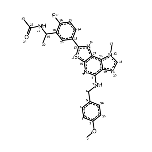 COc1ccc(CNc2nc3sc(-c4ccc(F)c(C(C)NC(C)=O)c4)nc3c3c2ncn3C)cc1